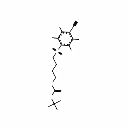 CC(C)(C)OC(=O)NCCCCS(=O)(=O)c1c(F)c(F)c(C#N)c(F)c1F